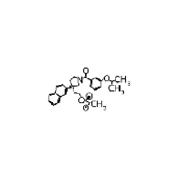 CC(C)Oc1cccc(C(=O)N2CC[C@](CCOS(C)(=O)=O)(c3ccc4ccccc4c3)C2)c1